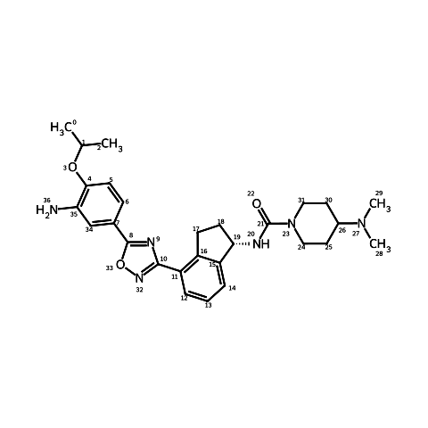 CC(C)Oc1ccc(-c2nc(-c3cccc4c3CC[C@@H]4NC(=O)N3CCC(N(C)C)CC3)no2)cc1N